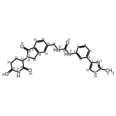 Cc1nc(-c2cccc(NC(=O)NCc3ccc4c(c3)CN(C3CCC(=O)NC3=O)C4=O)c2)cs1